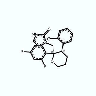 Fc1ccc([C@]2(Cn3nc[nH]c3=S)OCCC[C@@H]2c2ccccc2Cl)c(F)c1